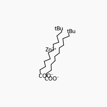 CC(C)(C)CCCCCCCCCCC(=O)[O-].CC(C)(C)CCCCCCCCCCC(=O)[O-].[Zn+2]